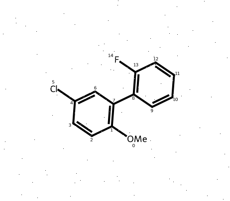 COc1ccc(Cl)cc1-c1ccc[c]c1F